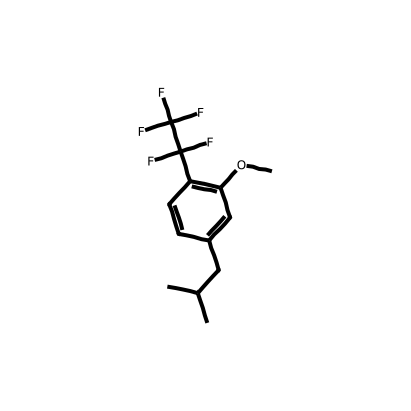 COc1cc(C[C](C)C)ccc1C(F)(F)C(F)(F)F